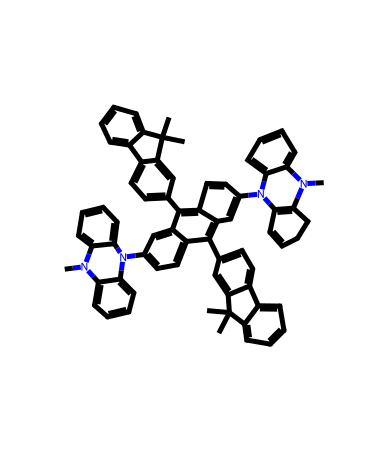 CN1C2=C(C=CCC2)N(c2ccc3c(-c4ccc5c(c4)C(C)(C)c4ccccc4-5)c4cc(N5c6ccccc6N(C)c6ccccc65)ccc4c(-c4ccc5c(c4)C(C)(C)c4ccccc4-5)c3c2)c2ccccc21